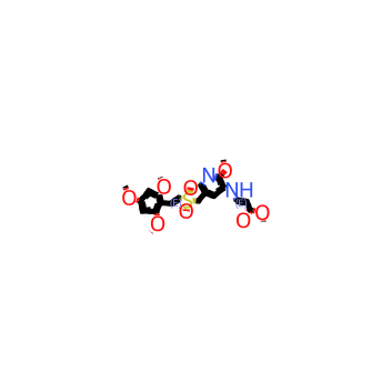 COC(=O)/C=C/Nc1cc(CS(=O)(=O)/C=C/c2c(OC)cc(OC)cc2OC)cnc1OC